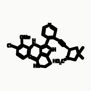 COc1c(Cl)cccc1Nc1c(-c2ccncc2C#C[C@H]2CC(C)(C)CN2C(=O)O)[nH]c2c1C(=O)NCC2